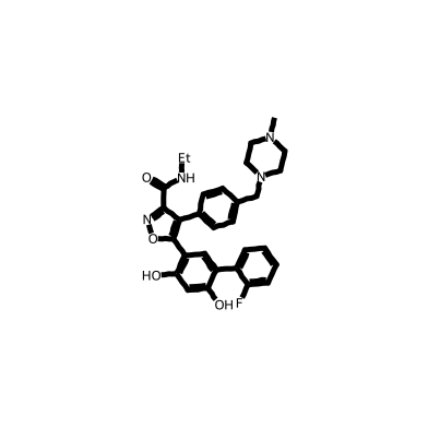 CCNC(=O)c1noc(-c2cc(-c3ccccc3F)c(O)cc2O)c1-c1ccc(CN2CCN(C)CC2)cc1